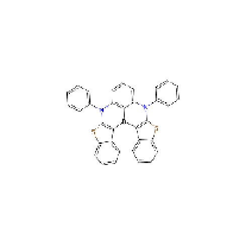 c1ccc(N2c3cccc4c3B(c3c2sc2ccccc32)c2c(sc3ccccc23)N4c2ccccc2)cc1